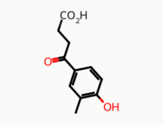 Cc1cc(C(=O)CCC(=O)O)ccc1O